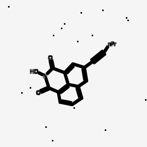 CCCC#Cc1cc2c3c(cccc3c1)C(=O)N(O)C2=O